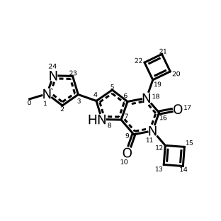 Cn1cc(-c2cc3c([nH]2)c(=O)n(C2=CC=C2)c(=O)n3C2=CC=C2)cn1